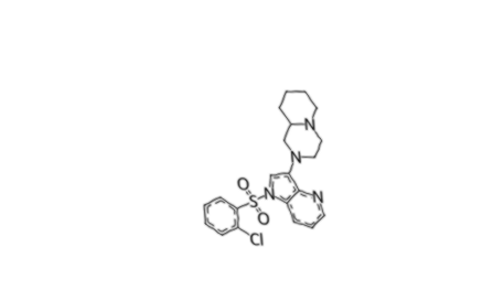 O=S(=O)(c1ccccc1Cl)n1cc(N2CCN3CCCCC3C2)c2ncccc21